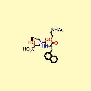 CC(=O)NCCOC(=O)[C@H](Cc1cccc2ccccc12)NC(=O)N(CC(C)C)CC(O)C(=O)O